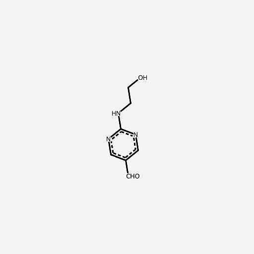 O=Cc1cnc(NCCO)nc1